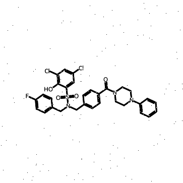 O=C(c1ccc(CN(Cc2ccc(F)cc2)S(=O)(=O)c2cc(Cl)cc(Cl)c2O)cc1)N1CCN(c2ccccc2)CC1